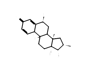 CC[C@]12CC[C@H]3[C@@H](C[C@H](F)C4=CC(=O)C=C[C@@]43C)[C@@H]1C[C@@H](C)[C@@H]2C(C)=O